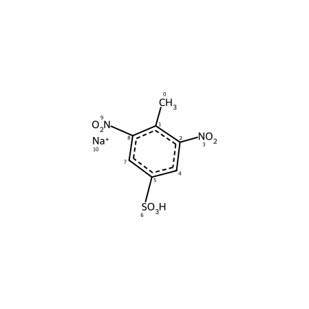 Cc1c([N+](=O)[O-])cc(S(=O)(=O)O)cc1[N+](=O)[O-].[Na+]